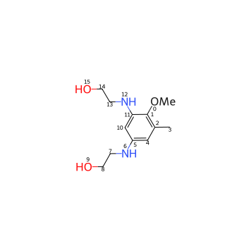 COc1c(C)cc(NCCO)cc1NCCO